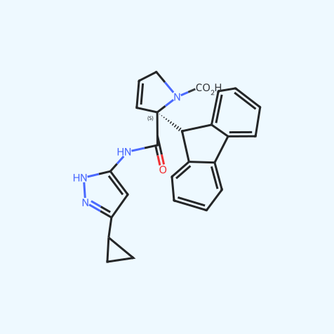 O=C(O)N1CC=C[C@@]1(C(=O)Nc1cc(C2CC2)n[nH]1)C1c2ccccc2-c2ccccc21